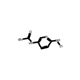 CCNc1ccc(NC(=O)C(C)(C)C)cn1